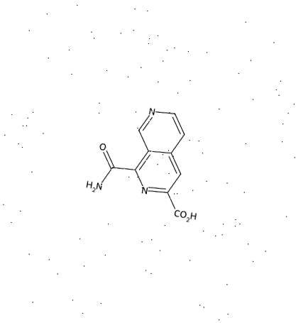 NC(=O)c1nc(C(=O)O)cc2ccncc12